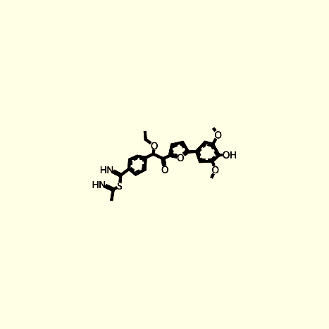 CCOC(C(=O)c1ccc(-c2cc(OC)c(O)c(OC)c2)o1)c1ccc(C(=N)SC(C)=N)cc1